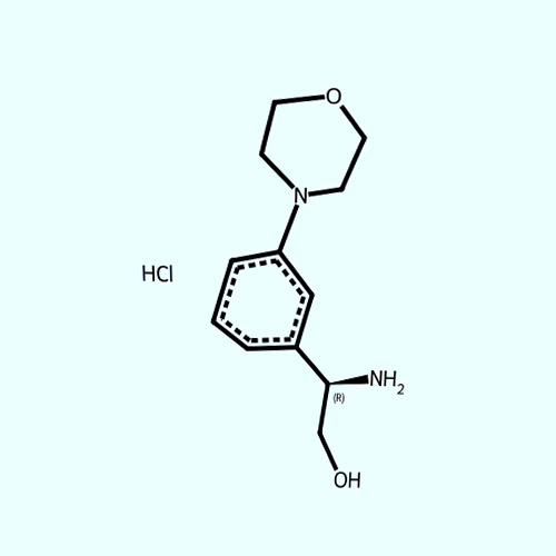 Cl.N[C@@H](CO)c1cccc(N2CCOCC2)c1